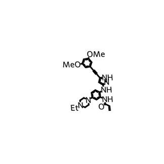 C=CC(=O)Nc1cc(N2CCN(CC)CC2)ccc1Nc1cc(C#Cc2cc(OC)cc(OC)c2)[nH]n1